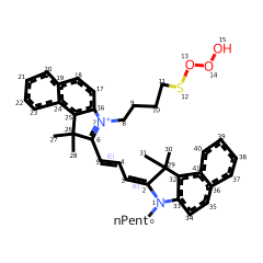 CCCCCN1/C(=C/C=C/C2=[N+](CCCCSOOO)c3ccc4ccccc4c3C2(C)C)C(C)(C)c2c1ccc1ccccc21